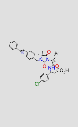 CC(C)C[C@@H](C(=O)NC(CC(=O)O)c1ccc(Cl)cc1)N1C(=O)N(Cc2ccc(/C=C/c3ccccc3)cc2)C(C)(C)C1=O